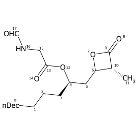 CCCCCCCCCCCCC[C@H](CC1OC(=O)[C@@H]1C)OC(=O)CNC=O